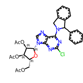 CC(=O)OC[C@H]1O[C@@H](n2cnc3c(N4Cc5ccccc5C4c4ccccc4)nc(Cl)nc32)[C@H](OC(C)=O)[C@@H]1OC(C)=O